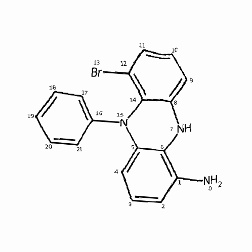 Nc1cccc2c1Nc1cccc(Br)c1N2c1ccccc1